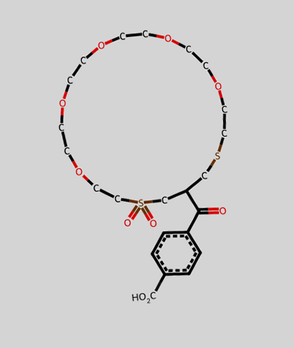 O=C(O)c1ccc(C(=O)C2CSCCOCCOCCOCCOCCOCCS(=O)(=O)C2)cc1